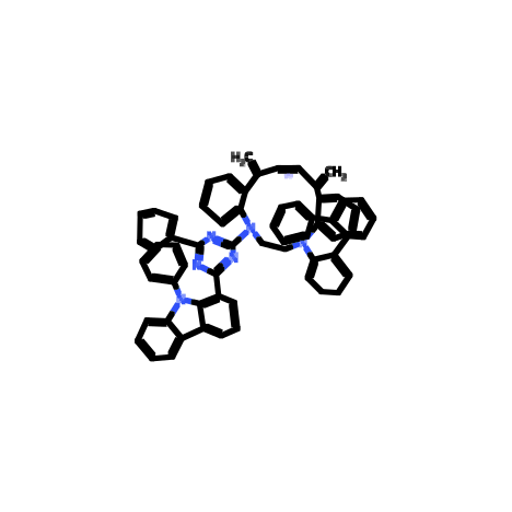 C=C1/C=C\C(=C)c2ccccc2N(c2nc(-c3ccccc3)nc(-c3cccc4c5ccccc5n(-c5ccccc5)c34)n2)CCN(C2=CCCC=C2c2ccccc2-c2ccccc2)c2ccccc21